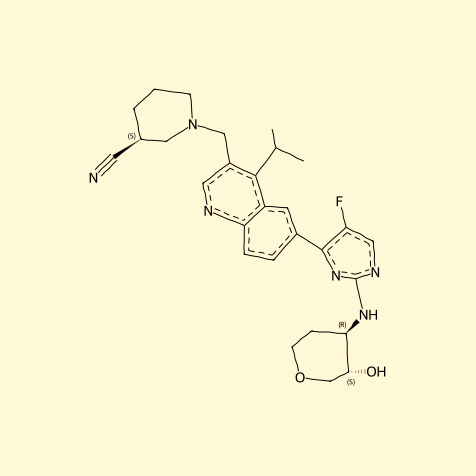 CC(C)c1c(CN2CCC[C@H](C#N)C2)cnc2ccc(-c3nc(N[C@@H]4CCOC[C@H]4O)ncc3F)cc12